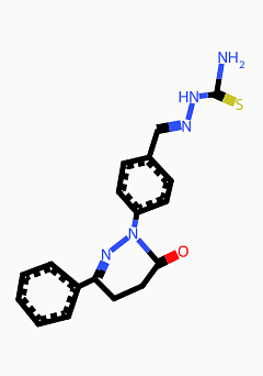 NC(=S)NN=Cc1ccc(N2N=C(c3ccccc3)CCC2=O)cc1